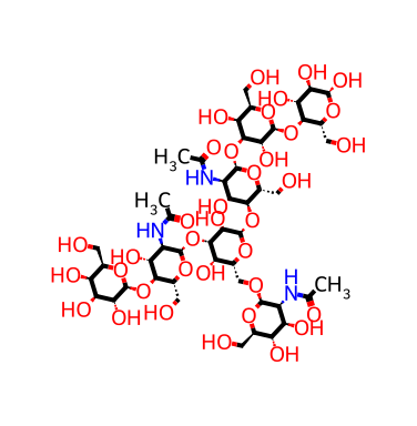 CC(=O)N[C@H]1[C@H](O[C@H]2[C@@H](O)[C@@H](CO[C@@H]3O[C@H](CO)[C@@H](O)[C@H](O)[C@H]3NC(C)=O)O[C@@H](O[C@H]3[C@H](O)[C@@H](NC(C)=O)[C@H](O[C@H]4[C@@H](O)[C@@H](CO)O[C@@H](O[C@H]5[C@H](O)[C@@H](O)[C@H](O)O[C@@H]5CO)[C@@H]4O)O[C@@H]3CO)[C@@H]2O)O[C@H](CO)[C@@H](O[C@@H]2O[C@H](CO)[C@H](O)[C@H](O)[C@H]2O)[C@@H]1O